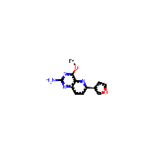 CCOc1nc(N)nc2ccc(-c3ccoc3)nc12